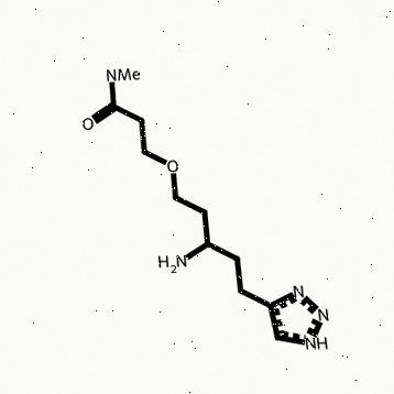 CNC(=O)CCOCCC(N)CCc1c[nH]nn1